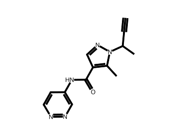 C#CC(C)n1ncc(C(=O)Nc2ccnnc2)c1C